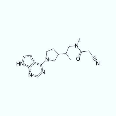 CC(CN(C)C(=O)CC#N)C1CCN(c2ncnc3[nH]ccc23)C1